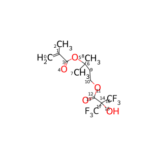 C=C(C)C(=O)OC(C)(C)CCOC(=O)C(O)(C(F)(F)F)C(F)(F)F